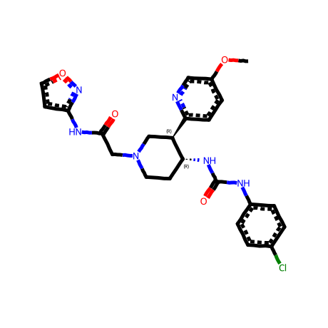 COc1ccc([C@@H]2CN(CC(=O)Nc3ccon3)CC[C@H]2NC(=O)Nc2ccc(Cl)cc2)nc1